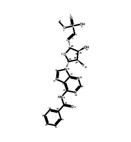 COP(=O)(O)/C=C/[C@H]1O[C@@H](n2cnc3c(NC(=O)c4ccccc4)ncnc32)[C@H](F)[C@@H]1O